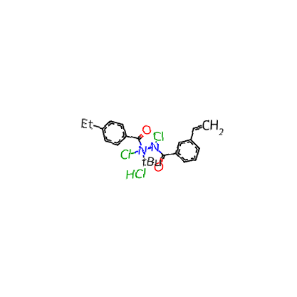 C=Cc1cccc(C(=O)N(Cl)[N+](Cl)(C(=O)c2ccc(CC)cc2)C(C)(C)C)c1.Cl